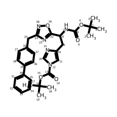 CC(C)(C)OC(=O)NC(Cc1cn(C(=O)OC(C)(C)C)cn1)c1nc(Cc2ccc(-c3ccccc3)cc2)no1